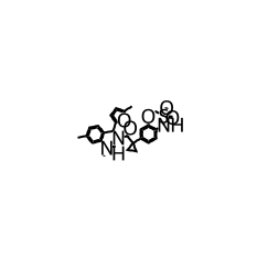 Cc1ccc(C(NC(=O)C2(c3ccc4c(c3)OCS(=O)(=O)N4)CC2)c2ccc(C)o2)c(N(C)C)c1